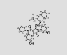 Cc1cc(C(=O)N(c2ccccc2)c2ccc(O)cc2)cn1-c1cc(Cl)ccc1C(=O)N1Cc2ccccc2C[C@H]1CN(C)C